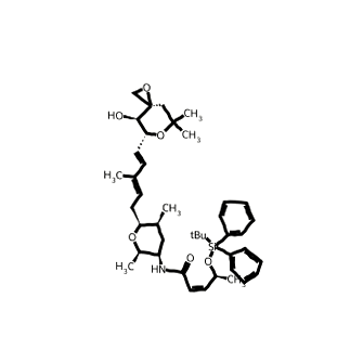 CC(/C=C/[C@H]1OC(C)(C)C[C@@]2(CO2)[C@@H]1O)=C\C[C@@H]1O[C@H](C)[C@H](NC(=O)/C=C\[C@H](C)O[Si](c2ccccc2)(c2ccccc2)C(C)(C)C)C[C@@H]1C